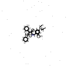 CCN(CC)c1ccc(/C=C2/OC(=NC3CCCCC3)C(C3CCCCC3)C2=O)c(OC)c1